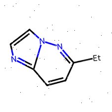 CCc1ccc2nccn2n1